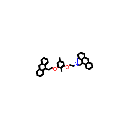 Cc1cc(OCCNCc2c3ccccc3cc3ccccc23)c(C)c(OCCc2c3ccccc3cc3ccccc23)c1